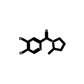 CC1CCCN1C(=O)c1cc(Cl)c(Cl)cn1